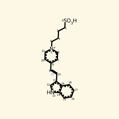 O=S(=O)(O)CCCC[n+]1ccc(/C=C/c2c[nH]c3ccccc23)cc1